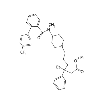 CCCOC(=O)CC(CC)(CCCN1CCC(N(C)C(=O)c2ccccc2-c2ccc(C(F)(F)F)cc2)CC1)c1ccccc1